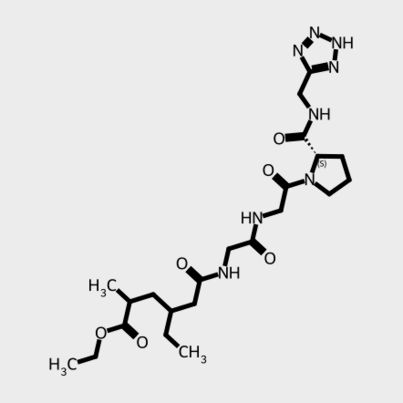 CCOC(=O)C(C)CC(CC)CC(=O)NCC(=O)NCC(=O)N1CCC[C@H]1C(=O)NCc1nn[nH]n1